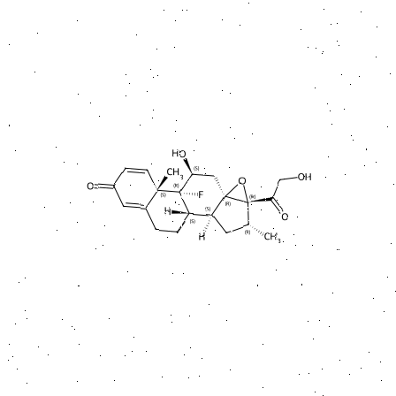 C[C@@H]1C[C@H]2[C@@H]3CCC4=CC(=O)C=C[C@]4(C)[C@@]3(F)[C@@H](O)C[C@@]23O[C@]13C(=O)CO